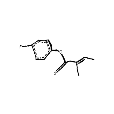 CC=C(C)C(=O)Oc1ccc(F)cc1